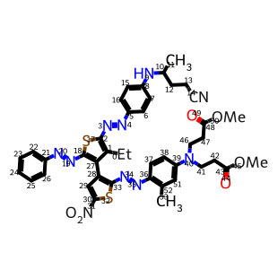 CCc1c(N=Nc2ccc(NC(C)CCC#N)cc2)sc(N=Nc2ccccc2)c1-c1cc([N+](=O)[O-])sc1/N=N/c1ccc(N(CCC(=O)OC)CCC(=O)OC)cc1C